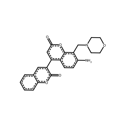 Nc1ccc2c(-c3cc4ccccc4oc3=O)cc(=O)oc2c1CN1CCOCC1